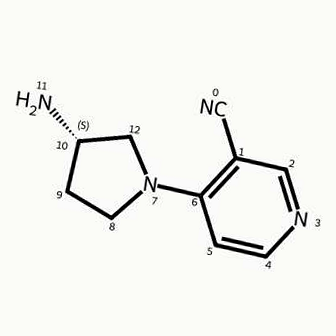 N#Cc1cnccc1N1CC[C@H](N)C1